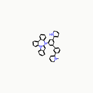 CN1CC=CC=C1c1cccc(-c2cc(C3=CC=CCN3)cc(N3c4ccccc4-c4ccccc4-n4c3cc3ccccc34)c2)c1